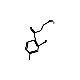 Cc1ccc(C(=O)CCN)c(F)c1